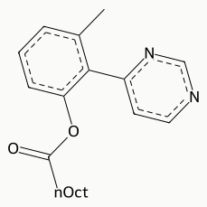 CCCCCCCCC(=O)Oc1cccc(C)c1-c1ccncn1